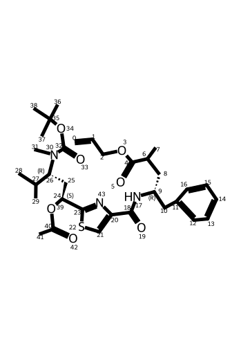 C=CCOC(=O)C(C)C[C@H](Cc1ccccc1)NC(=O)c1csc([C@H](C[C@H](C(C)C)N(C)C(=O)OC(C)(C)C)OC(C)=O)n1